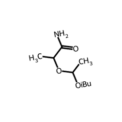 CC(C)COC(C)OC(C)C(N)=O